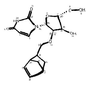 O=c1ccn([C@@H]2O[C@H](CO)[C@@H](O)[C@H]2OCC2CC3C=CC2C3)c(=O)[nH]1